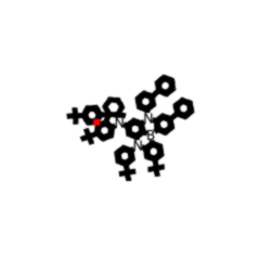 CC(C)(C)c1ccc(C23CCCCC2(C)N(c2cc4c5c(c2)N(c2cccc(C(C)(C)C)c2)c2cc(C(C)(C)C)ccc2B5c2ccc(-c5ccccc5)cc2N4c2cccc(-c4ccccc4)c2)c2ccc(C(C)(C)C)cc23)cc1